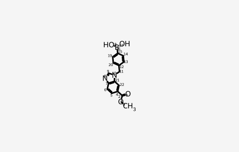 COC(=O)c1ccc2ncn(Cc3ccc(B(O)O)cc3)c2c1